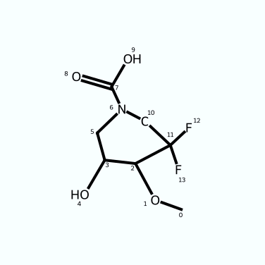 COC1C(O)CN(C(=O)O)CC1(F)F